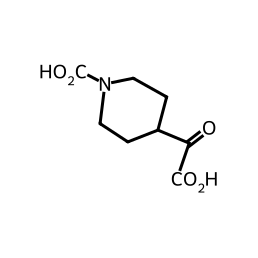 O=C(O)C(=O)C1CCN(C(=O)O)CC1